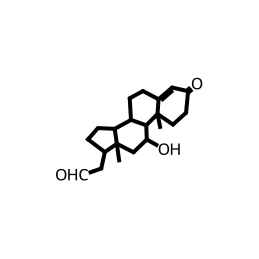 CC12CCC(=O)C=C1CCC1C2C(O)CC2(C)C(CC=O)CCC12